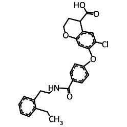 CCc1ccccc1CCNC(=O)c1ccc(Oc2cc3c(cc2Cl)C(C(=O)O)CCO3)cc1